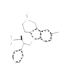 Cc1ccc2c(c1)c1c(n2CC(C(=O)N(C)C)c2ccncc2)CCN(C)C1